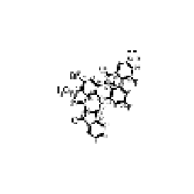 Cn1nc(N2C(=O)c3ccccc3C2=O)c2c(Oc3cc(F)ccc3Cl)c(NC(=O)c3cc(F)cc(C(F)(F)F)c3)cc(Br)c21